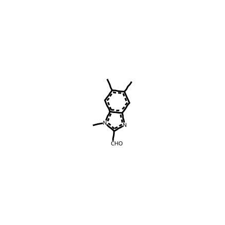 Cc1cc2nc(C=O)n(C)c2cc1C